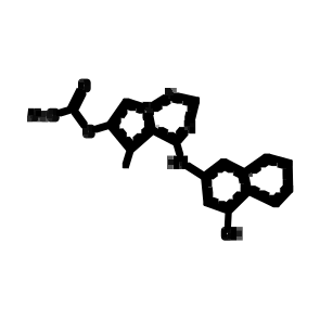 COC(=O)Oc1cn2ncnc(Nc3cc(O)c4ccccc4c3)c2c1C